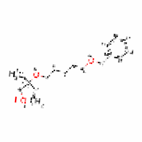 C=C[C@](C)(CO)OCCCC=COCc1ccccc1